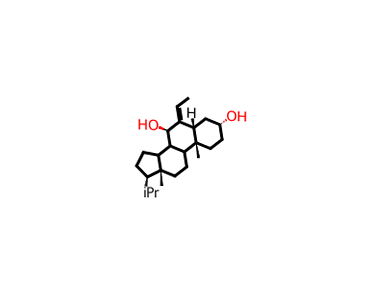 C/C=C1/[C@H](O)C2C3CC[C@H](C(C)C)[C@@]3(C)CCC2[C@@]2(C)CC[C@@H](O)C[C@@H]12